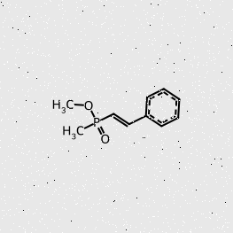 COP(C)(=O)C=Cc1ccccc1